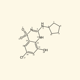 O=S1(=O)N=C(NC2CCCC2)Nc2c(O)cc(Cl)cc21